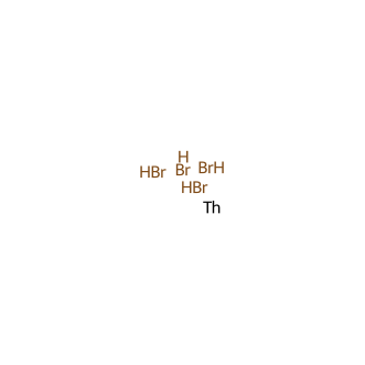 Br.Br.Br.Br.[Th]